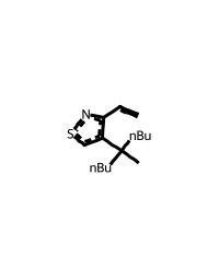 C=Cc1nscc1C(C)(CCCC)CCCC